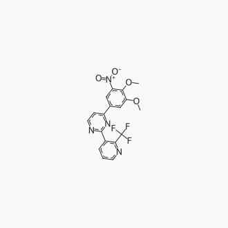 COc1cc(-c2ccnc(-c3cccnc3C(F)(F)F)n2)cc([N+](=O)[O-])c1OC